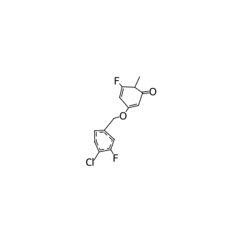 CC1C(=O)C=C(OCc2ccc(Cl)c(F)c2)C=C1F